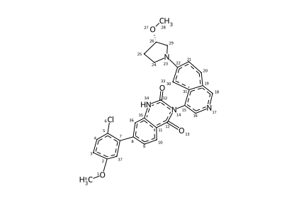 COc1ccc(Cl)c(-c2ccc3c(=O)n(-c4cncc5ccc(N6CC[C@H](OC)C6)cc45)c(=O)[nH]c3c2)c1